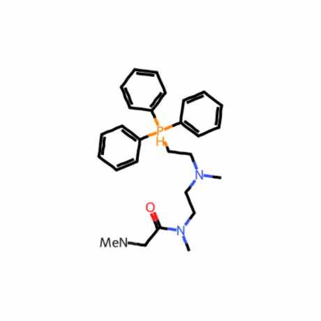 CNCC(=O)N(C)CCN(C)CC[PH](c1ccccc1)(c1ccccc1)c1ccccc1